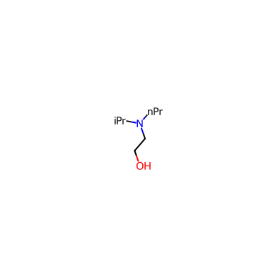 CCCN(CCO)C(C)C